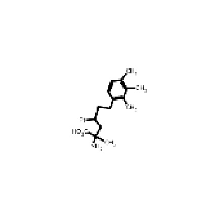 CCC(CCc1ccc(C)c(C)c1C)CC(C)(N)C(=O)O